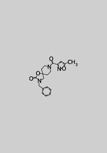 Cc1cc(C(=O)N2CCC3(CC2)CN(Cc2ccccc2)C(=O)O3)no1